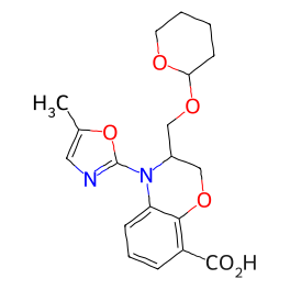 Cc1cnc(N2c3cccc(C(=O)O)c3OCC2COC2CCCCO2)o1